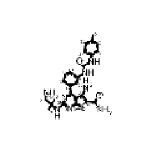 Cc1ccc(NC(=O)Nc2cccc(-c3nc(NC(C)(C)CN)nc4sc(C(N)=O)c(N)c34)c2)cc1